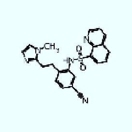 Cn1ccnc1CCc1ccc(C#N)cc1NS(=O)(=O)c1cccc2cccnc12